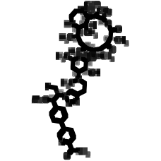 CC[C@H]1OC(=O)[C@H](C)C(=O)[C@H](C)[C@@H](O[C@@H]2O[C@H](C)C[C@H](N(C)CCc3cn([C@H](CF)[C@H](OC)c4ccc(-c5ccc(C(N)=O)nc5)cc4)nn3)[C@H]2O)[C@](C)(OC)C[C@@H](C)[C@@H]2NCCN(C=O)[C@H]([C@H]2C)[C@]1(C)OC